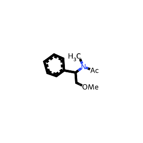 COCC(c1ccccc1)N(C)C(C)=O